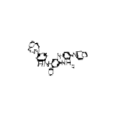 NC1=CC(=O)C(Nc2ccc(N3CCOCC3)cc2)=C/C1=N/c1ccc(N2CCOCC2)cc1